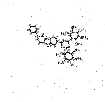 Bc1c(B)c(B)c(-c2nc(-c3ccc4c(c3)oc3ccc(-c5ccccc5)cc34)nc(-c3c(B)c(B)c(B)c(B)c3B)n2)c(B)c1B